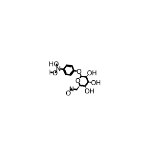 O=NC[C@H]1O[C@@H](Oc2ccc(N(O)OI)cc2)[C@H](O)[C@@H](O)[C@@H]1O